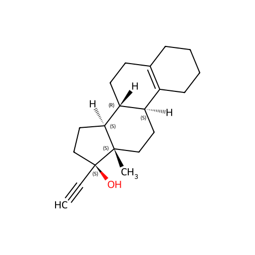 C#C[C@]1(O)CC[C@H]2[C@@H]3CCC4=C(CCCC4)[C@H]3CC[C@@]21C